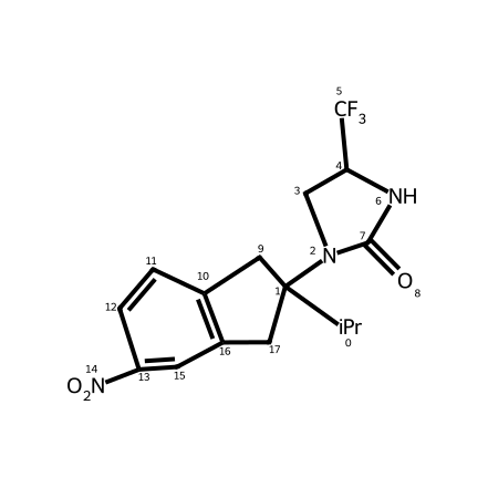 CC(C)C1(N2CC(C(F)(F)F)NC2=O)Cc2ccc([N+](=O)[O-])cc2C1